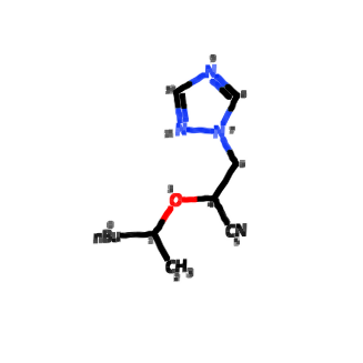 CCCCC(C)OC(C#N)Cn1cncn1